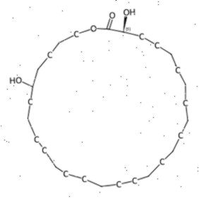 O=C1OCCCCC(O)CCCCCCCCCCCCCCCCCCCCC[C@@H]1O